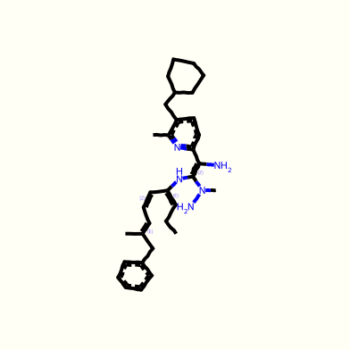 CC\C=C(/C=C\C=C(/C)Cc1ccccc1)N/C(=C(/N)c1ccc(CC2CCCCC2)c(C)n1)N(C)N